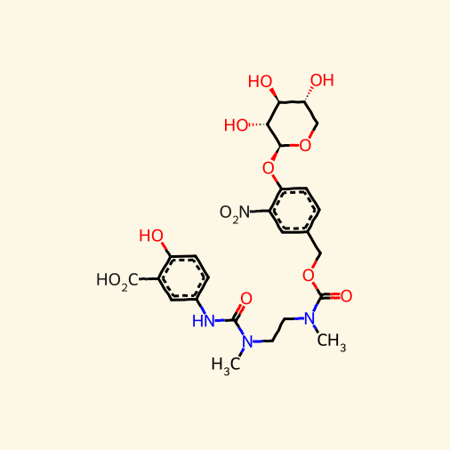 CN(CCN(C)C(=O)OCc1ccc(O[C@@H]2OC[C@@H](O)[C@H](O)[C@H]2O)c([N+](=O)[O-])c1)C(=O)Nc1ccc(O)c(C(=O)O)c1